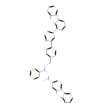 NC(NC(NCc1ccc2c(c1)sc1ccc(-c3cccc4c3oc3ccccc34)cc12)c1ccccc1)c1ccc2c(c1)sc1ccccc12